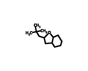 CC(C)(C)CC1CC2CCCCC2O1